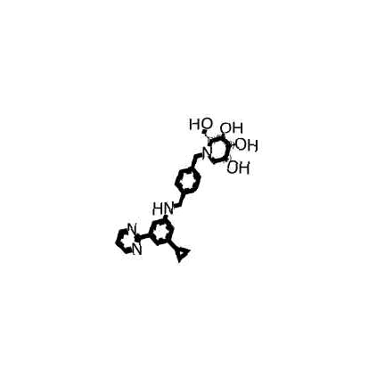 OC[C@@H]1[C@@H](O)[C@H](O)[C@@H](O)CN1Cc1ccc(CNc2cc(-c3ncccn3)cc(C3CC3)c2)cc1